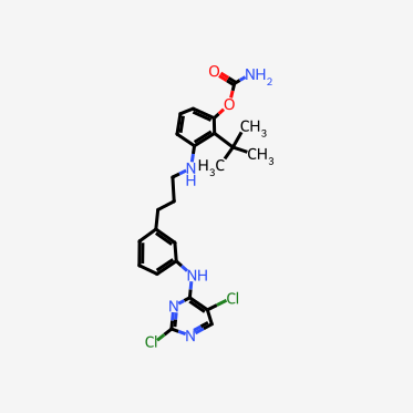 CC(C)(C)c1c(NCCCc2cccc(Nc3nc(Cl)ncc3Cl)c2)cccc1OC(N)=O